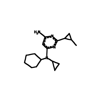 CC1CC1c1nc(N)cc(N(C2CCCCC2)C2CC2)n1